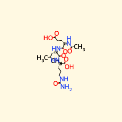 CC(=O)N[C@@H](CCC(=O)O)C(=O)N[C@@H](CC(C)C)C(=O)N[C@@H](CCCNC(N)=O)C(=O)O